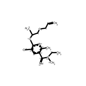 C=CCOCC(C)Oc1nc(C)c(C(=N)N(C)CC)cc1Cl